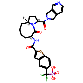 O=C(N[C@H]1CCCC[C@H]2CC[C@@H](C(=O)N3Cc4ccncc4C3)N2C1=O)c1cc2cc(C(F)(F)P(=O)(O)O)ccc2s1